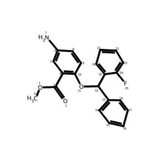 COC(=O)c1cc(N)ccc1OC(c1ccccc1)c1ccccc1F